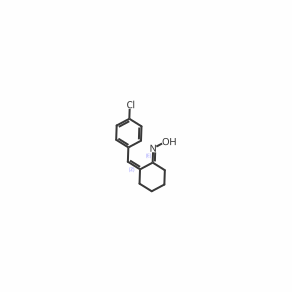 O/N=C1\CCCC\C1=C\c1ccc(Cl)cc1